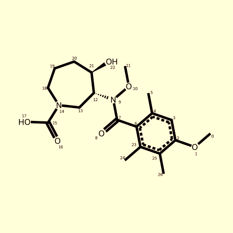 COc1cc(C)c(C(=O)N(OC)[C@@H]2CN(C(=O)O)CCC[C@H]2O)c(C)c1C